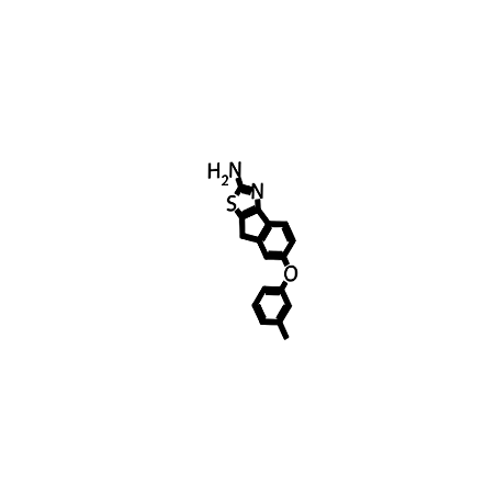 Cc1cccc(Oc2ccc3c(c2)Cc2sc(N)nc2-3)c1